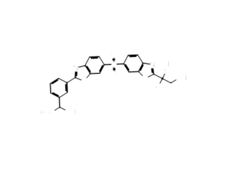 CCC(C)(C)c1nc2ccc(S(=O)(=O)c3ccc4nc(-c5cccc(C(C)C)c5)sc4c3)cc2s1